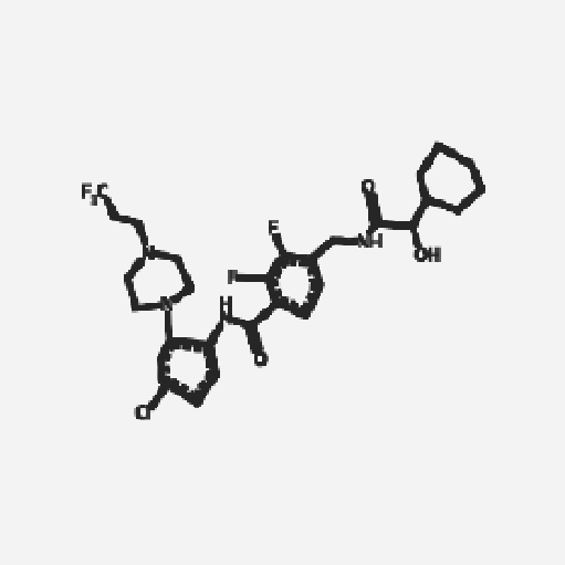 O=C(Nc1ccc(Cl)cc1N1CCN(CCC(F)(F)F)CC1)c1ccc(CNC(=O)[C@H](O)C2CCCCC2)c(F)c1F